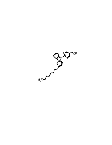 C=Cc1cnc(-n2c3ccccc3c3cc(CCCCCCCC)ccc32)nc1